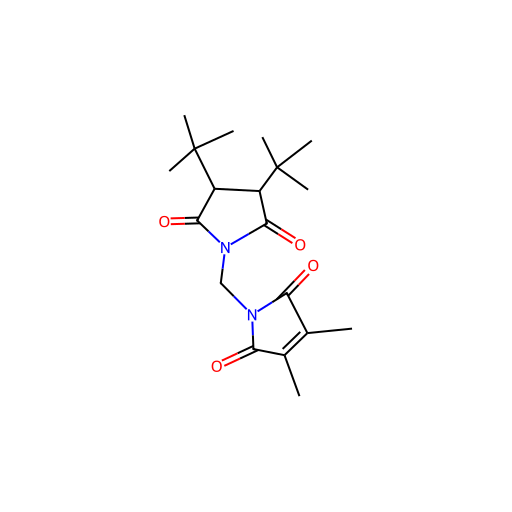 CC1=C(C)C(=O)N(CN2C(=O)C(C(C)(C)C)C(C(C)(C)C)C2=O)C1=O